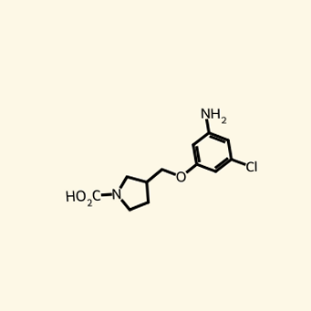 Nc1cc(Cl)cc(OCC2CCN(C(=O)O)C2)c1